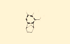 Cc1c(Cl)cc2c(c1CO)C1CCC2C1